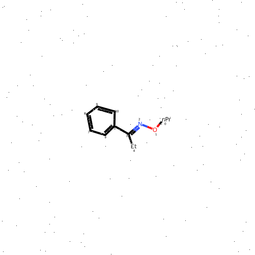 CCCON=C(CC)c1ccccc1